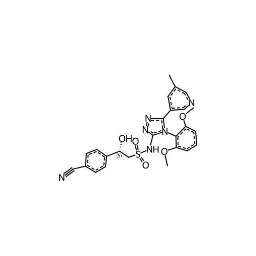 COc1cccc(OC)c1-n1c(NS(=O)(=O)C[C@@H](O)c2ccc(C#N)cc2)nnc1-c1cncc(C)c1